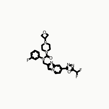 O=C(N1CCN(C2COC2)CC1)N(Cc1cn2ccc(-c3nnc(C(F)F)o3)cc2n1)c1cccc(F)c1